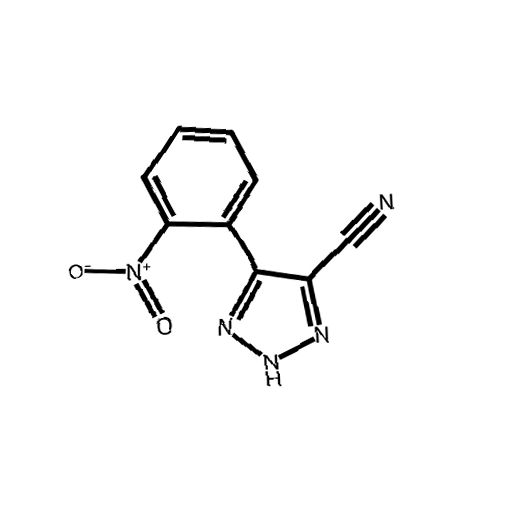 N#Cc1n[nH]nc1-c1ccccc1[N+](=O)[O-]